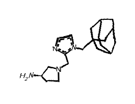 N[C@@H]1CCN(Cc2nccn2CC23CC4CC(CC(C4)C2)C3)C1